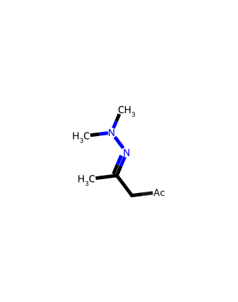 CC(=O)CC(C)=NN(C)C